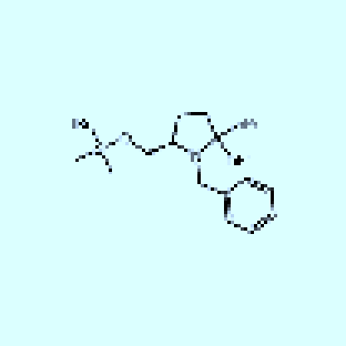 CCCC1(CCC)CC[C@H](CO[Si](C)(C)C(C)(C)C)N1Cc1ccccc1